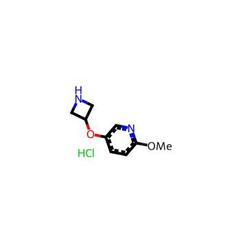 COc1ccc(OC2CNC2)cn1.Cl